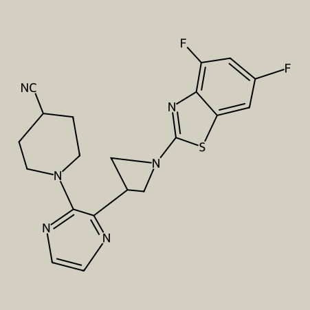 N#CC1CCN(c2nccnc2C2CN(c3nc4c(F)cc(F)cc4s3)C2)CC1